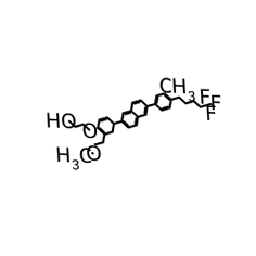 COCCC1=C(OCCO)C=CC(c2ccc3cc(-c4ccc(CCCCC(F)(F)F)c(C)c4)ccc3c2)C1